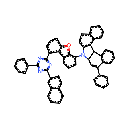 C1=C(c2ccccc2)c2ccccc2C2c3c(ccc4ccccc34)N(c3cccc4c3oc3cccc(-c5nc(-c6ccccc6)nc(-c6ccc7ccccc7c6)n5)c34)C12